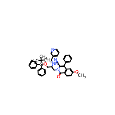 COc1ccc2c(=O)n(CC(CO[Si](c3ccccc3)(c3ccccc3)C(C)(C)C)NCc3cccnc3)c(C#N)c(-c3ccccc3)c2c1